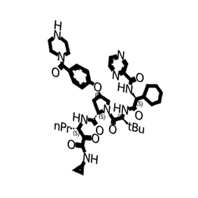 CCC[C@H](NC(=O)[C@@H]1C[C@@H](Oc2ccc(C(=O)N3CCNCC3)cc2)CN1C(=O)[C@@H](NC(=O)[C@@H](NC(=O)c1cnccn1)C1CCCCC1)C(C)(C)C)C(=O)C(=O)NC1CC1